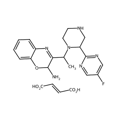 CC(C1=Nc2ccccc2OC1N)N1CCNCC1c1ncc(F)cn1.O=C(O)C=CC(=O)O